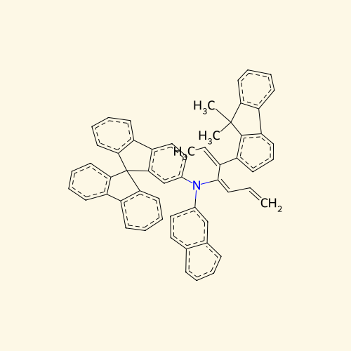 C=C/C=C(\C(=C/C)c1cccc2c1C(C)(C)c1ccccc1-2)N(c1ccc2c(c1)C1(c3ccccc3-c3ccccc31)c1ccccc1-2)c1ccc2ccccc2c1